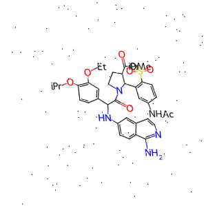 CCOc1cc(C(Nc2ccc3c(N)nccc3c2)C(=O)N2CCC(C(=O)OC)C2c2cc(NC(C)=O)ccc2S(=O)(=O)C(C)C)ccc1OC(C)C